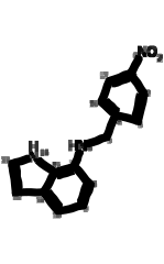 O=[N+]([O-])c1ccc(CNc2cccc3cc[nH]c23)cc1